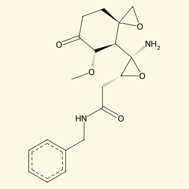 CO[C@@H]1C(=O)CC[C@]2(CO2)[C@H]1[C@@]1(N)O[C@@H]1CC(=O)NCc1ccccc1